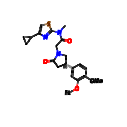 CCOc1cc([C@@H]2CC(=O)N(CC(=O)N(C)c3nc(C4CC4)cs3)C2)ccc1OC